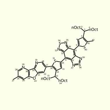 CCCCCCCCC(CCCCCCCC)c1cc(-c2c3c(c(-c4cc(C(CCCCCCCC)CCCCCCCC)c(-c5cnc6c(c5)oc5cc(C)cnc56)s4)c4nsnc24)N=S=N3)sc1C